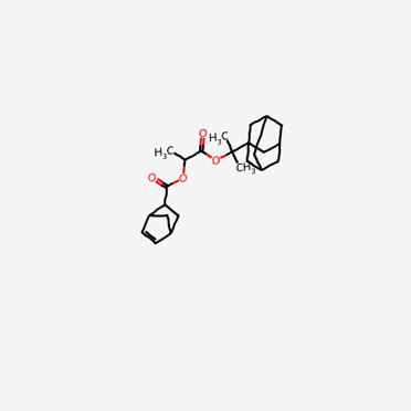 CC(OC(=O)C1CC2C=CC1C2)C(=O)OC(C)(C)C12CC3CC(CC(C3)C1)C2